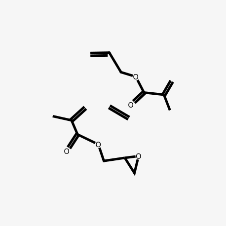 C=C.C=C(C)C(=O)OCC1CO1.C=CCOC(=O)C(=C)C